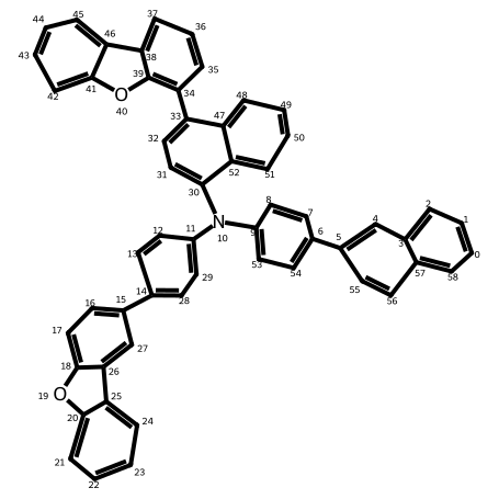 c1ccc2cc(-c3ccc(N(c4ccc(-c5ccc6oc7ccccc7c6c5)cc4)c4ccc(-c5cccc6c5oc5ccccc56)c5ccccc45)cc3)ccc2c1